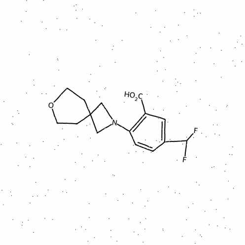 O=C(O)c1cc(C(F)F)ccc1N1CC2(CCOCC2)C1